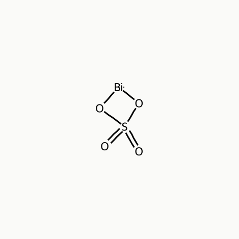 O=S1(=O)[O][Bi][O]1